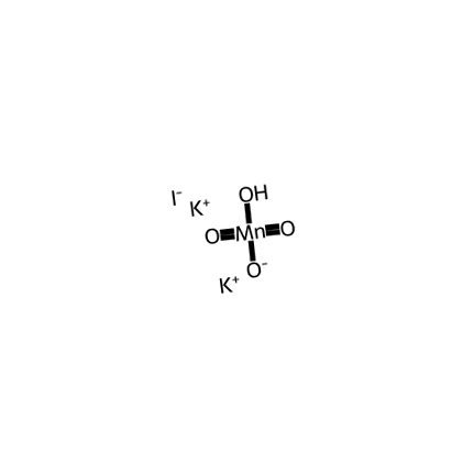 [I-].[K+].[K+].[O]=[Mn](=[O])([O-])[OH]